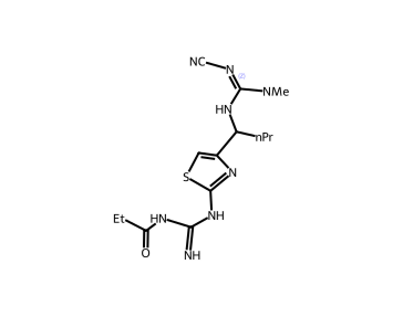 CCCC(N/C(=N\C#N)NC)c1csc(NC(=N)NC(=O)CC)n1